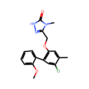 COc1ccccc1-c1cc(Cl)c(C)cc1OCc1n[nH]c(=O)n1C